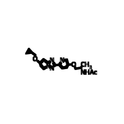 CC(=O)N[C@@H](C)COc1ccc(-c2nc3cc(OCC4CC4)ccn3n2)nc1